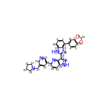 c1cc(-c2ccc3c(c2)OCO3)c2nc(-c3n[nH]c4ccc(-c5cncc(CN6CCCC6)c5)nc34)[nH]c2c1